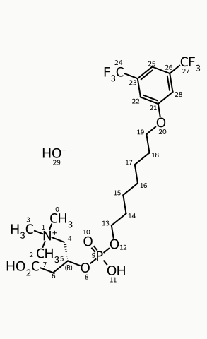 C[N+](C)(C)C[C@@H](CC(=O)O)OP(=O)(O)OCCCCCCCOc1cc(C(F)(F)F)cc(C(F)(F)F)c1.[OH-]